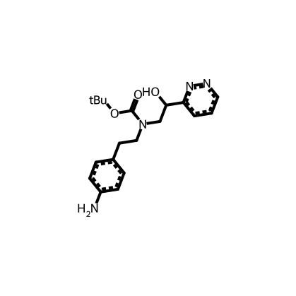 CC(C)(C)OC(=O)N(CCc1ccc(N)cc1)CC(O)c1cccnn1